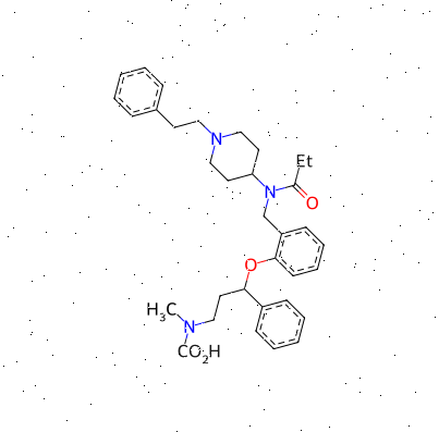 CCC(=O)N(Cc1ccccc1OC(CCN(C)C(=O)O)c1ccccc1)C1CCN(CCc2ccccc2)CC1